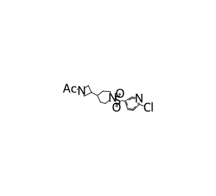 CC(=O)N1CC(C2CCN(S(=O)(=O)c3ccc(Cl)nc3)CC2)C1